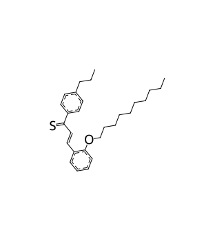 CCCCCCCCCCOc1ccccc1C=CC(=S)c1ccc(CCC)cc1